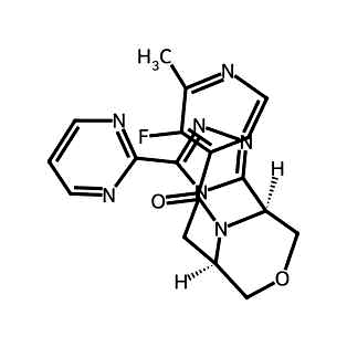 Cc1nccc(C(=O)N2[C@H]3COC[C@@H]2c2nnc(-c4ncccn4)n2C3)c1F